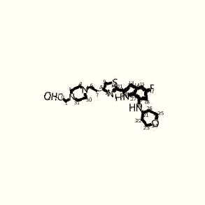 O=CCN1CCN(CC[C@@H]2CSC(c3cc4cc(F)cc(NC5CCOCC5)c4[nH]3)=N2)CC1